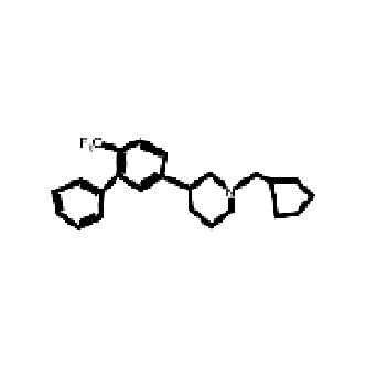 FC(F)(F)c1ccc(C2CCCN(CC3CCCC3)C2)cc1-c1ccccc1